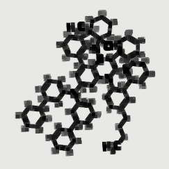 CCCCc1ccc(N2c3cc(N(c4cccc(-c5ccccc5)c4)c4cccc(-c5ccccc5)c4)cc4c3B(c3c2sc2ccccc32)N2c3c-4cccc3C3(C)CCCCC23C)c(-c2ccccc2)c1